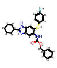 O=C(Nc1cc2nc(C3CCCCC3)[nH]c2cc1Sc1ccc(F)cc1)OCc1ccccc1